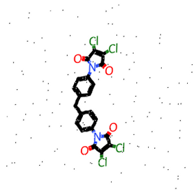 O=C1C(Cl)=C(Cl)C(=O)N1c1ccc(Cc2ccc(N3C(=O)C(Cl)=C(Cl)C3=O)cc2)cc1